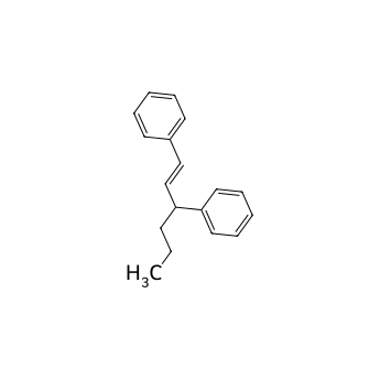 CCCC(C=Cc1ccccc1)c1ccccc1